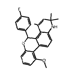 COc1cccc2c1-c1ccc3c(c1C(c1ccc(F)cc1)O2)C(C)=CC(C)(C)N3